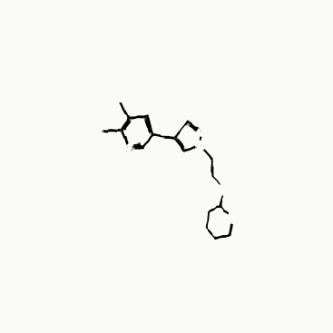 Clc1cc(-c2cnn(CCOC3CCCCO3)c2)cnc1Cl